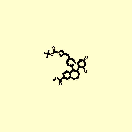 COC(=O)c1ccc2c(c1)CCCC(c1ccc(Cl)cc1Cl)=C2c1ccc(C=C2CN(C(=O)OC(C)(C)C)C2)cn1